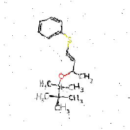 CC(C=CSc1ccccc1)O[Si](C)(C)C(C)(C)C